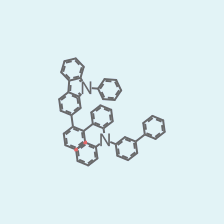 c1ccc(-c2cccc(N(c3ccccc3)c3ccccc3-c3ccccc3-c3ccc4c5ccccc5n(-c5ccccc5)c4c3)c2)cc1